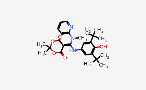 CN(C(Nc1cc(C(C)(C)C)c(O)c(C(C)(C)C)c1)=C1C(=O)OC(C)(C)OC1=O)c1ccccn1